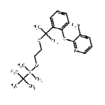 CC(C)(OCCO[Si](C)(C)C(C)(C)C)c1ccccc1Oc1ncccc1N